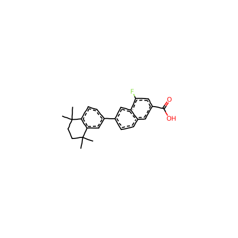 CC1(C)CCC(C)(C)c2cc(-c3ccc4cc(C(=O)O)cc(F)c4c3)ccc21